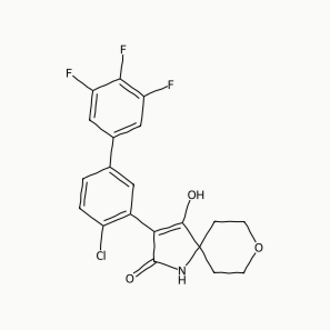 O=C1NC2(CCOCC2)C(O)=C1c1cc(-c2cc(F)c(F)c(F)c2)ccc1Cl